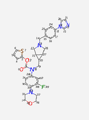 O=C(Oc1cccs1)N(CC1C2CN(Cc3ccc(-n4ccnc4)cc3)CC21)c1ccc(N2CCOCC2)c(F)c1